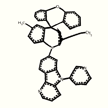 Cc1ccc2c(c1)C1(c3ccccc3Oc3ccccc31)c1cc(C)ccc1N2c1ccc2c3ncccc3n(-c3cccnc3)c2c1